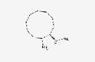 NC1CCCCCCCC[C@H]1NP